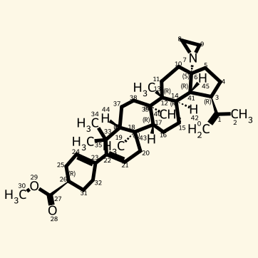 C=C(C)[C@@H]1CC[C@]2(N3CC3)CC[C@]3(C)[C@H](CC[C@@H]4[C@@]5(C)CC=C(C6=CC[C@H](C(=O)OC)CC6)C(C)(C)[C@@H]5CC[C@]43C)[C@@H]12